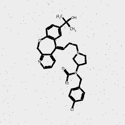 CCC(=O)N(Cc1ccc(Cl)cc1)C1CCN(CC/C=C2\c3cc(C(C)(C)O)ccc3OCc3ncccc32)C1